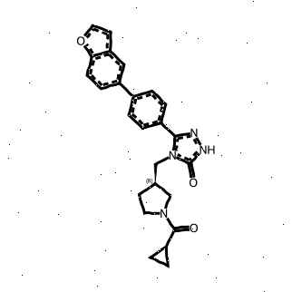 O=C(C1CC1)N1CC[C@@H](Cn2c(-c3ccc(-c4ccc5occc5c4)cc3)n[nH]c2=O)C1